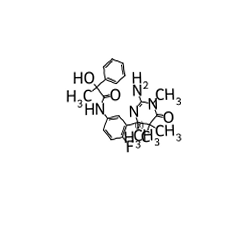 CN1C(=O)C(C)(C)[C@](C)(c2cc(NC(=O)C(C)(O)c3ccccc3)ccc2F)N=C1N